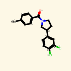 CC(C)(C)c1ccc(C(=O)N2CCC(c3ccc(Cl)c(Cl)c3)C2)cc1